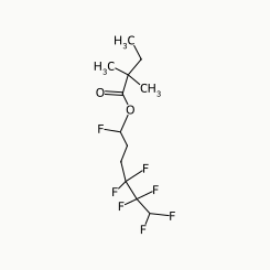 CCC(C)(C)C(=O)OC(F)CCC(F)(F)C(F)(F)C(F)F